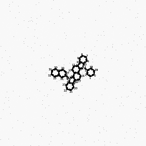 c1ccc(-n2c3ccccc3c3ccc4c(ccc5c6ccccc6n(-c6ccc7ccccc7c6)c54)c32)cc1